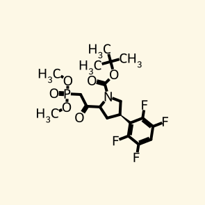 COP(=O)(CC(=O)C1C[C@H](c2c(F)c(F)cc(F)c2F)CN1C(=O)OC(C)(C)C)OC